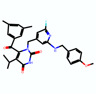 COc1ccc(CNc2cc(Cn3c(C(=O)c4cc(C)cc(C)c4)c(C(C)C)c(=O)[nH]c3=O)cc(F)n2)cc1